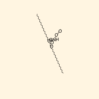 CCCCCCCCCCCCCCCCCCOCC(COCCCCCCCCCCCCCCCCCC)OC(=O)NCCOCCOC